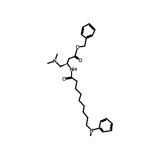 CN(C)C[C@@H](CC(=O)OCc1ccccc1)NC(=O)CCCCCCCCN(C)c1ccccc1